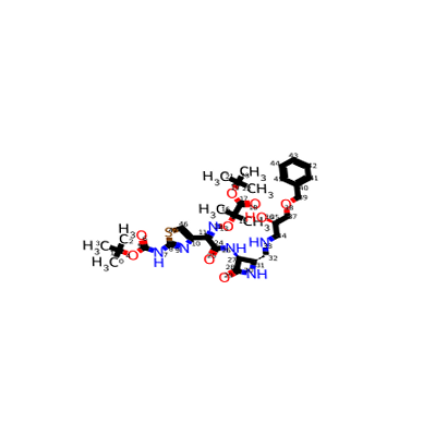 CC(C)(C)OC(=O)Nc1nc(C(=NOC(C)(C)C(=O)OC(C)(C)C)C(=O)N[C@@H]2C(=O)N[C@H]2CNC[C@@H](O)COCc2ccccc2)cs1